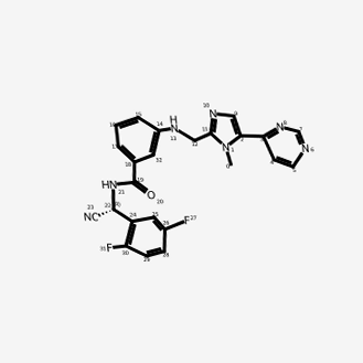 Cn1c(-c2ccncn2)cnc1CNc1cccc(C(=O)N[C@@H](C#N)c2cc(F)ccc2F)c1